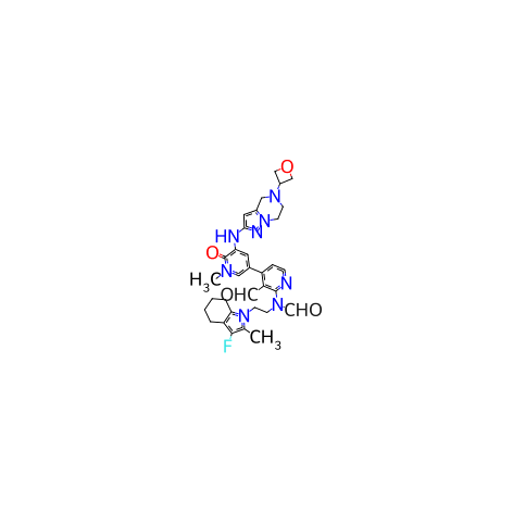 Cc1c(F)c2c(n1CCN(C=O)c1nccc(-c3cc(Nc4cc5n(n4)CCN(C4COC4)C5)c(=O)n(C)c3)c1C=O)CCCC2